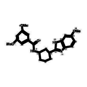 COc1cc(OC)cc(C(=O)NC2CCCC(c3nc4ccc(OC)cc4[nH]3)C2)c1